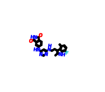 Cc1[nH]c2c(F)ccc(C)c2c1CCNc1cc(Nc2ccc3c(c2)C(=O)NC3=O)ncn1